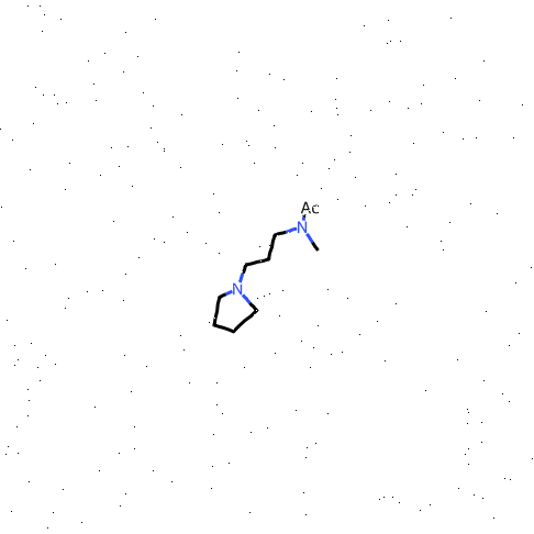 CC(=O)N(C)CCCN1CCCC1